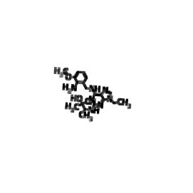 CCn1cnc2c(NCc3cccc(OC)c3N)nc(NC(C)C(C)(C)O)nc21